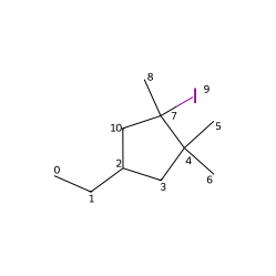 CCC1CC(C)(C)C(C)(I)C1